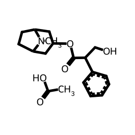 CC(=O)O.CN1C2CCC1CC(OC(=O)C(CO)c1ccccc1)C2